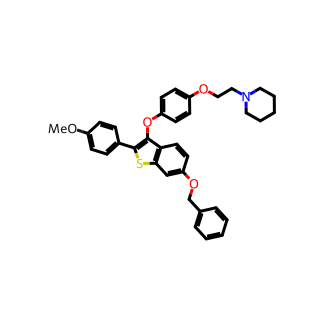 COc1ccc(-c2sc3cc(OCc4ccccc4)ccc3c2Oc2ccc(OCCN3CCCCC3)cc2)cc1